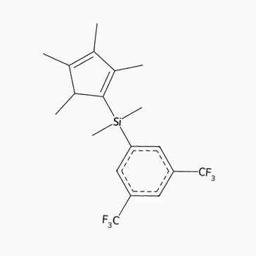 CC1=C(C)C(C)C([Si](C)(C)c2cc(C(F)(F)F)cc(C(F)(F)F)c2)=C1C